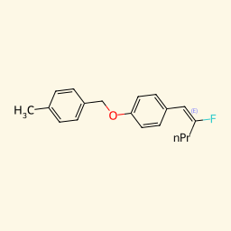 CCC/C(F)=C\c1ccc(OCc2ccc(C)cc2)cc1